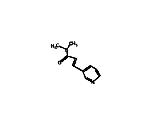 CN(C)C(=O)C=Cc1cccnc1